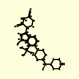 C[C@@H](C1CCNCC1)N1CCC(c2ccc3c(C4CCC(=O)NC4=O)nn(C)c3c2C(F)(F)F)CC1